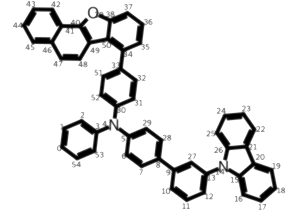 c1ccc(N(c2ccc(-c3cccc(-n4c5ccccc5c5ccccc54)c3)cc2)c2ccc(-c3cccc4oc5c6ccccc6ccc5c34)cc2)cc1